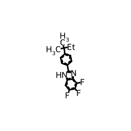 CCC(C)(C)c1ccc(-c2nc3c(F)c(F)c(F)cc3[nH]2)cc1